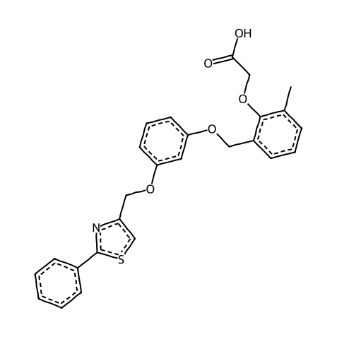 Cc1cccc(COc2cccc(OCc3csc(-c4ccccc4)n3)c2)c1OCC(=O)O